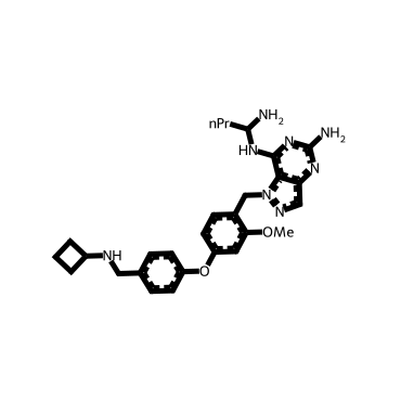 CCCC(N)Nc1nc(N)nc2cnn(Cc3ccc(Oc4ccc(CNC5CCC5)cc4)cc3OC)c12